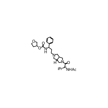 CC(=O)N[C@@H](C(=O)N1CC2CN(CCC(NC(=O)OC3CCOC3)c3ccccc3)C[C@H]2C1)C(C)C